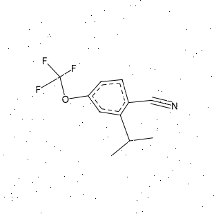 CC(C)c1cc(OC(F)(F)F)ccc1C#N